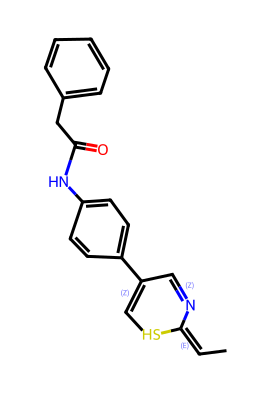 C\C=C(/C=N\C(S)=C/C)c1ccc(NC(=O)Cc2ccccc2)cc1